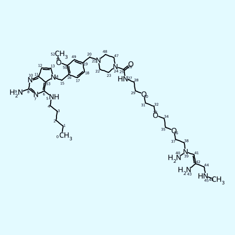 CCCCCNc1nc(N)nc2ccn(Cc3ccc(CN4CCN(C(=O)NCCOCCOCCOCCN(N)/C=C(\N)CNC)CC4)cc3OC)c12